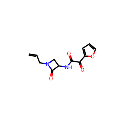 C=CCN1CC(NC(=O)C(=O)c2ccco2)C1=O